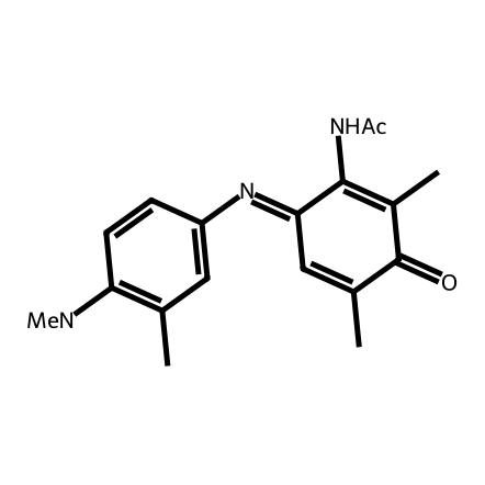 CNc1ccc(N=C2C=C(C)C(=O)C(C)=C2NC(C)=O)cc1C